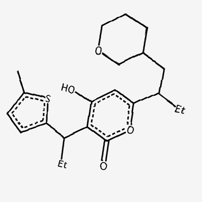 CCC(CC1CCCOC1)c1cc(O)c(C(CC)c2ccc(C)s2)c(=O)o1